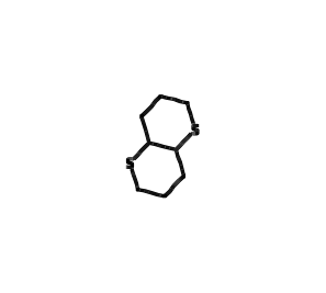 C1CSC2CCCSC2C1